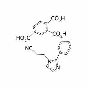 N#CCCn1ccnc1-c1ccccc1.O=C(O)c1ccc(C(=O)O)c(C(=O)O)c1